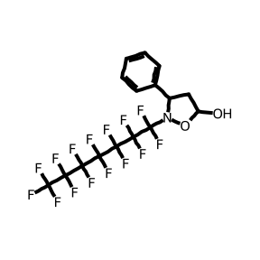 OC1CC(c2ccccc2)N(C(F)(F)C(F)(F)C(F)(F)C(F)(F)C(F)(F)C(F)(F)C(F)(F)F)O1